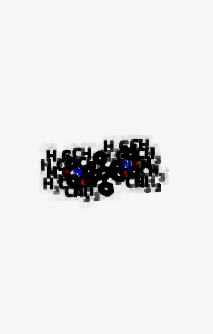 Cc1c(C)c(C)c(N(c2c(C)c(C)c(C)c(C)c2C)c2ccc3c4c(-c5ccccc5)c5c6ccc(N(c7c(C)c(C)c(C)c(C)c7C)c7c(C)c(C)c(C)c(C)c7C)c7cccc(c5c(-c5ccccc5)c4c4cccc2c43)c76)c(C)c1C